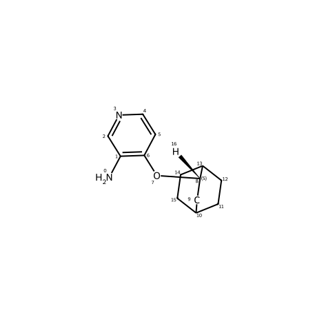 Nc1cnccc1O[C@H]1CC2CCC1CC2